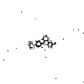 Fc1cncc(C2=NCCC/C2=C\c2ccc(N3CCOCC3)cc2)c1